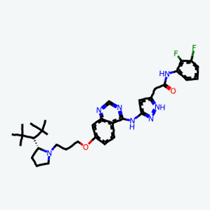 CC(C)(C)C([C@H]1CCCN1CCCOc1ccc2c(Nc3cc(CC(=O)Nc4cccc(F)c4F)[nH]n3)ncnc2c1)C(C)(C)C